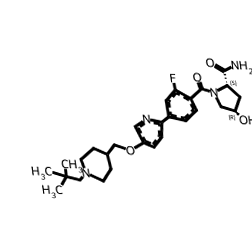 CC(C)(C)CN1CCC(COc2ccc(-c3ccc(C(=O)N4C[C@H](O)C[C@H]4C(N)=O)c(F)c3)nc2)CC1